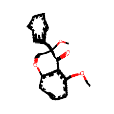 COc1cccc2c1C(=O)C(OC)(c1ccccc1)CO2